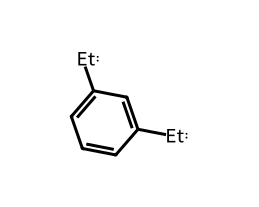 C[C]c1cccc([C]C)c1